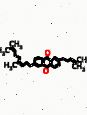 CC(C)=CCCC(C)=CCCc1ccc2c(c1)C(=O)c1ccc(CCC=C(C)C)cc1C2=O